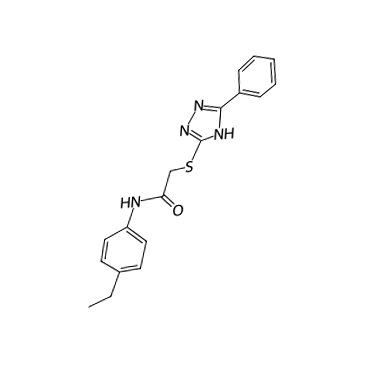 CCc1ccc(NC(=O)CSc2nnc(-c3ccccc3)[nH]2)cc1